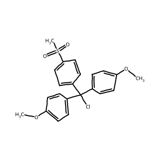 COc1ccc(C(Cl)(c2ccc(OC)cc2)c2ccc(S(C)(=O)=O)cc2)cc1